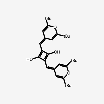 CC(C)(C)C1=CC(=CC2=C(O)C(C=C3C=C(C(C)(C)C)OC(C(C)(C)C)=C3)=C2O)C=C(C(C)(C)C)O1